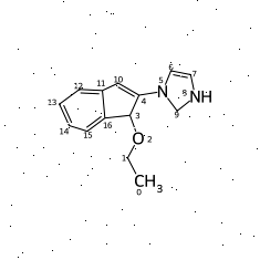 CCOC1C(N2C=CNC2)=Cc2ccccc21